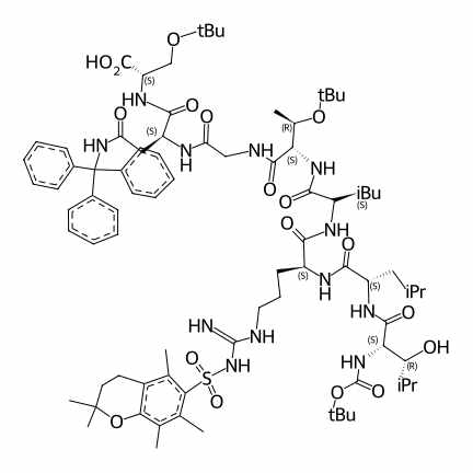 CC[C@H](C)C(NC(=O)[C@H](CCCNC(=N)NS(=O)(=O)c1c(C)c(C)c2c(c1C)CCC(C)(C)O2)NC(=O)[C@H](CC(C)C)NC(=O)[C@@H](NC(=O)OC(C)(C)C)[C@H](O)C(C)C)C(=O)N[C@H](C(=O)NCC(=O)N[C@@H](CC(=O)NC(c1ccccc1)(c1ccccc1)c1ccccc1)C(=O)N[C@@H](COC(C)(C)C)C(=O)O)[C@@H](C)OC(C)(C)C